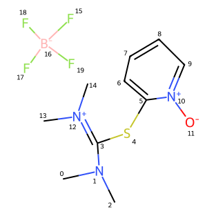 CN(C)C(Sc1cccc[n+]1[O-])=[N+](C)C.F[B-](F)(F)F